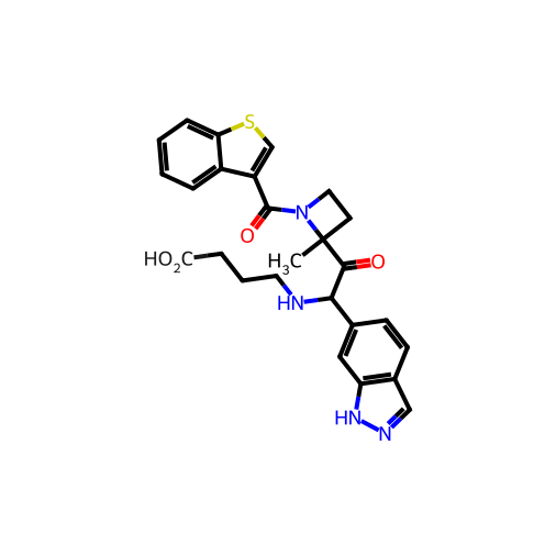 CC1(C(=O)C(NCCCC(=O)O)c2ccc3cn[nH]c3c2)CCN1C(=O)c1csc2ccccc12